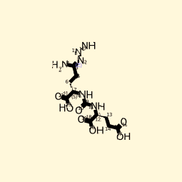 N=N/N=C(\N)CC[C@H](NC(=O)N[C@@H](CCC(=O)O)C(=O)O)C(=O)O